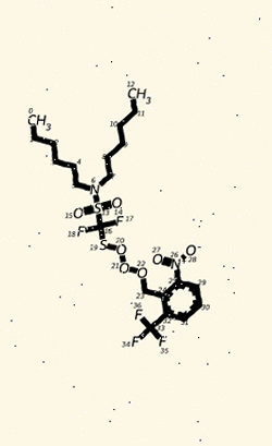 CCCCCCN(CCCCCC)S(=O)(=O)C(F)(F)SOOOCc1c([N+](=O)[O-])cccc1C(F)(F)F